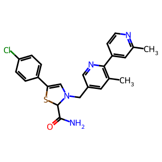 Cc1cc(-c2ncc(CN3C=C(c4ccc(Cl)cc4)SC3C(N)=O)cc2C)ccn1